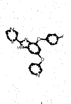 Fc1ccc(Oc2cc(Oc3cccnc3)cc3[nH]c(-c4cnccn4)nc23)cc1